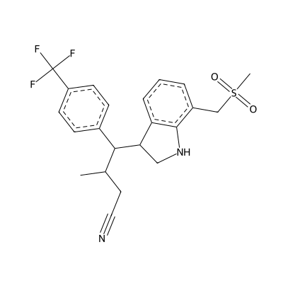 CC(CC#N)C(c1ccc(C(F)(F)F)cc1)C1CNc2c(CS(C)(=O)=O)cccc21